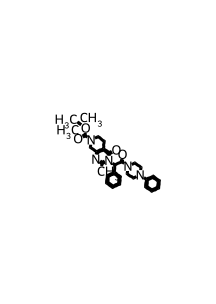 Cc1nc2c(c(=O)n1C(C(=O)N1CCN(c3ccccc3)CC1)c1ccccc1)CCN(C(=O)OC(C)(C)C)C2